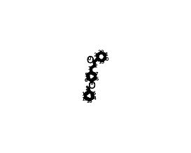 O=C(CCc1ccc(OCc2ccccc2)cc1)C1CCCCC1